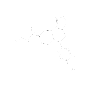 COc1ccc(N(Cc2cccs2)C2CCN(C(C)CCN)CC2)cc1